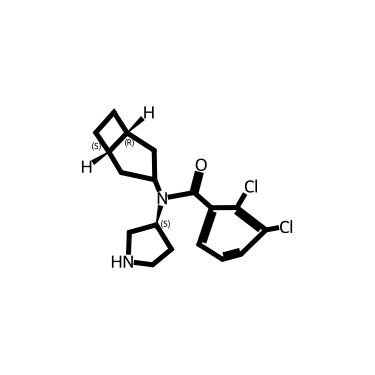 O=C(c1cccc(Cl)c1Cl)N(C1C[C@H]2CC[C@H]2C1)[C@H]1CCNC1